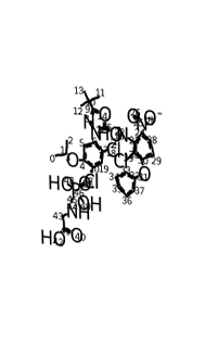 CC(C)Oc1cc(-n2nc(C(C)(C)C)oc2=O)c(Cl)cc1Cl.Nc1c([N+](=O)[O-])ccc(Oc2ccccc2)c1Cl.O=C(O)CNCP(=O)(O)O